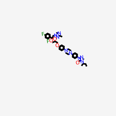 CCC(C)n1cnn(-c2ccc(N3CCN(c4ccc(OCC5COC(Cn6cnc(C)n6)(c6ccc(F)cc6F)O5)cc4)CC3)cc2)c1=O